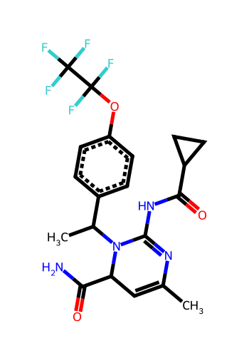 CC1=CC(C(N)=O)N(C(C)c2ccc(OC(F)(F)C(F)(F)F)cc2)C(NC(=O)C2CC2)=N1